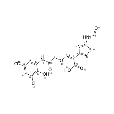 O=CNc1nc(/C(=N/OCC(=O)Nc2cc(Cl)cc(Cl)c2O)C(=O)O)cs1